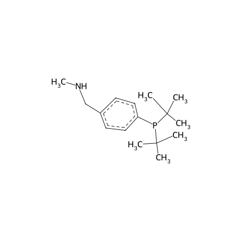 CNCc1ccc(P(C(C)(C)C)C(C)(C)C)cc1